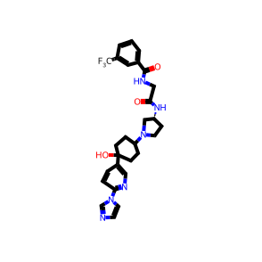 O=C(CNC(=O)c1cccc(C(F)(F)F)c1)N[C@@H]1CCN(C2CCC(O)(c3ccc(-n4ccnc4)nc3)CC2)C1